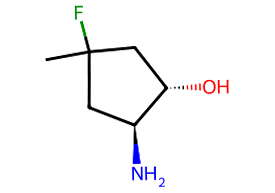 CC1(F)C[C@H](N)[C@@H](O)C1